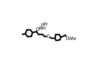 CCCNOC(CCCOCC1CCC(COC)CC1)C1CCC(C)CC1